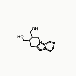 OCC1Cc2cc3ccccc3n2CC1CO